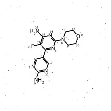 Nc1ncc(-c2nc(N3CCOCC3)nc(N)c2F)cn1